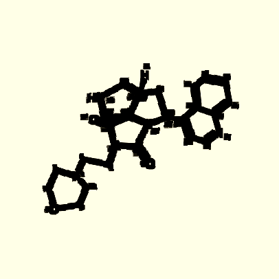 O=C1N(CCN2CCOCC2)C(=O)C23CNC[C@@H]2C[C@@H](c2ccnc4ccccc24)N13